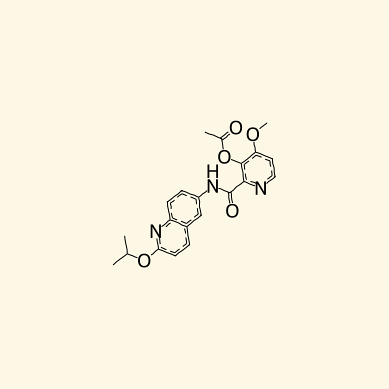 COc1ccnc(C(=O)Nc2ccc3nc(OC(C)C)ccc3c2)c1OC(C)=O